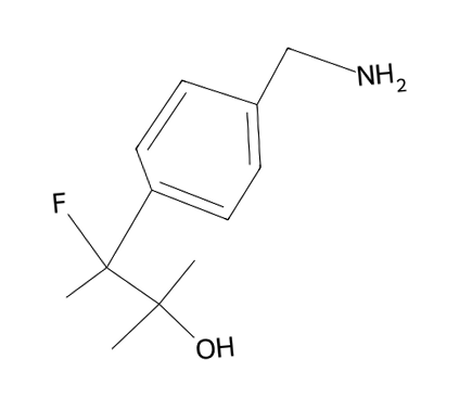 CC(C)(O)C(C)(F)c1ccc(CN)cc1